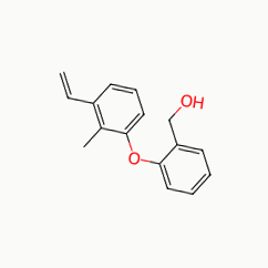 C=Cc1cccc(Oc2ccccc2CO)c1C